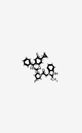 CC1Nc2ccccc2N1CC(=O)N1C[C@H](F)C[C@H]1C(=O)N[C@@H](c1ccccc1)c1ccc(C2CC2)c(F)c1